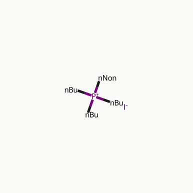 CCCCCCCCC[P+](CCCC)(CCCC)CCCC.[I-]